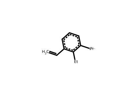 C=Cc1cccc([C](C)C)c1CC